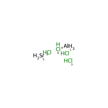 Cl.Cl.Cl.Cl.[AlH3].[SrH2]